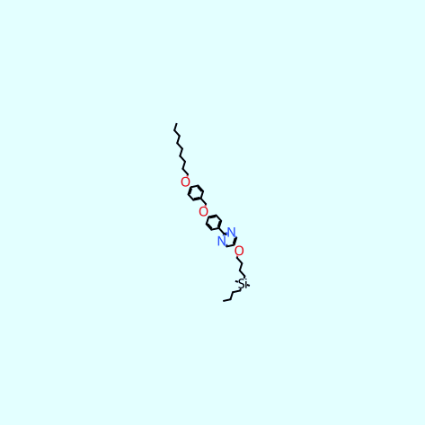 CCCCCCCCCOc1ccc(COc2ccc(-c3ncc(OCCCC[Si](C)(C)CCCC)cn3)cc2)cc1